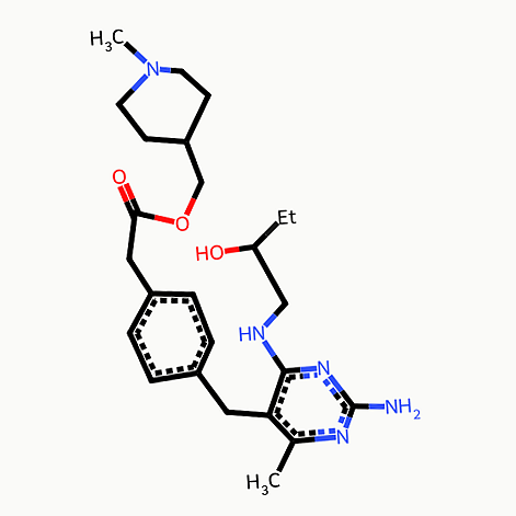 CCC(O)CNc1nc(N)nc(C)c1Cc1ccc(CC(=O)OCC2CCN(C)CC2)cc1